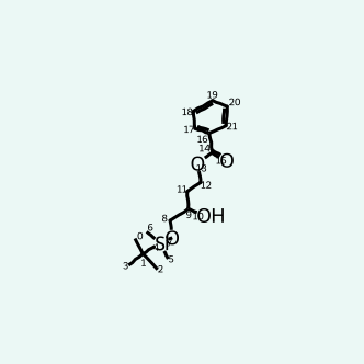 CC(C)(C)[Si](C)(C)OCC(O)CCOC(=O)c1ccccc1